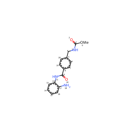 COC(=O)NCc1ccc(C(=O)Nc2ccccc2N)cc1